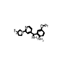 CC(C)Oc1ccc(N)c(C(=N)c2ccnc(N3CC[C@@H](F)C3)c2)c1